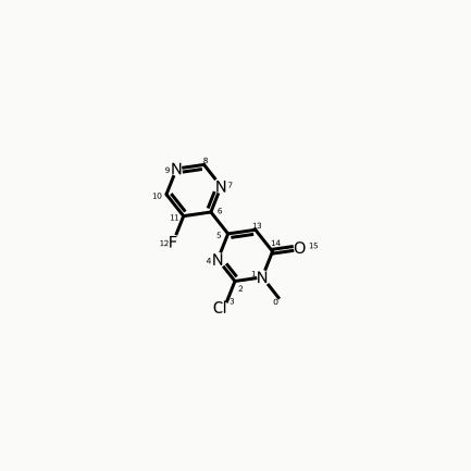 Cn1c(Cl)nc(-c2ncncc2F)cc1=O